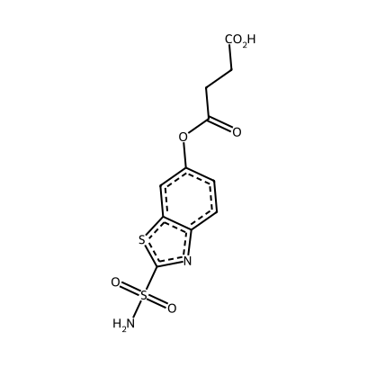 NS(=O)(=O)c1nc2ccc(OC(=O)CCC(=O)O)cc2s1